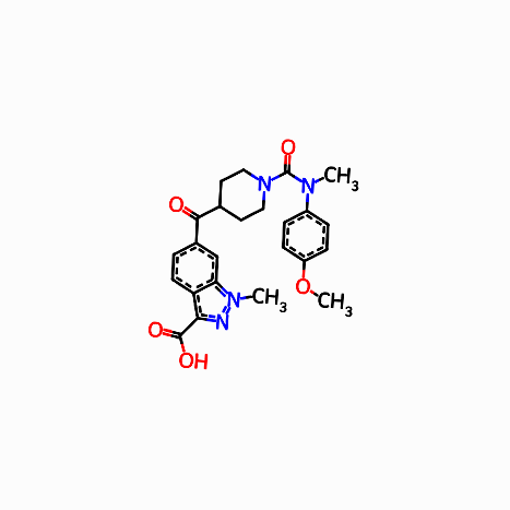 COc1ccc(N(C)C(=O)N2CCC(C(=O)c3ccc4c(C(=O)O)nn(C)c4c3)CC2)cc1